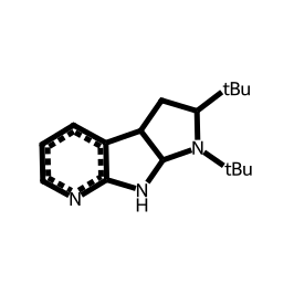 CC(C)(C)C1CC2c3cccnc3NC2N1C(C)(C)C